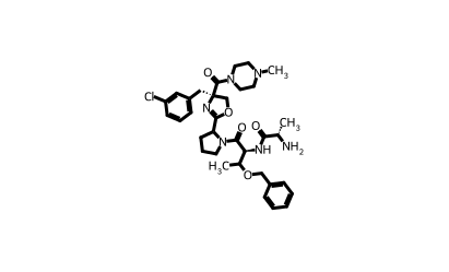 CC(OCc1ccccc1)[C@H](NC(=O)[C@H](C)N)C(=O)N1CCCC1C1=N[C@@](Cc2cccc(Cl)c2)(C(=O)N2CCN(C)CC2)CO1